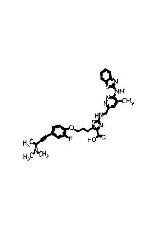 Cc1cc(CNc2nc(C(=O)O)c(CCCOc3ccc(C#CC(C)N(C)C)cc3F)s2)nnc1Nc1nc2ccccc2s1